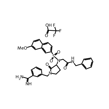 COc1ccc2ccc(S(=O)(=O)N(CC(=O)NCc3ccccc3)[C@H]3CCN(Cc4cccc(C(=N)N)c4)C3=O)cc2c1.O=C(O)C(F)(F)F